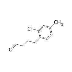 Cc1ccc(CCCC=O)c(Cl)c1